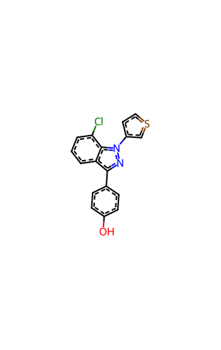 Oc1ccc(-c2nn(-c3ccsc3)c3c(Cl)cccc23)cc1